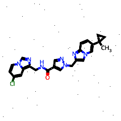 CC1(c2ccc3nc(Cn4cc(C(=O)NCc5ncn6ccc(Cl)cc56)cn4)cn3c2)CC1